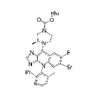 Cc1ccnc(C(C)C)c1-n1c2ncnc-2c(N2CCN(C(=O)OC(C)(C)C)C[C@@H]2C)c2cc(F)c(Br)cc21